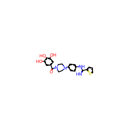 N=C(Nc1ccc(N2CCN(C(=O)c3cc(O)c(O)c(O)c3)CC2)cc1)c1cccs1